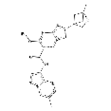 CCC(C)Oc1nc2nc(C34COC(C)(C3)C4)cn2cc1C(=O)Nc1cnn2cc(C)cnc12